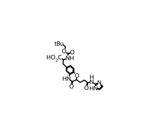 CC(C)(C)COC(=O)NC(Cc1ccc2c(c1)NC(=O)C(CCC(=O)Nc1ncc[nH]1)O2)C(=O)O